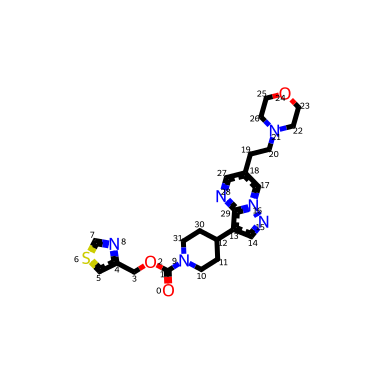 O=C(OCc1cscn1)N1CCC(c2cnn3cc(CCN4CCOCC4)cnc23)CC1